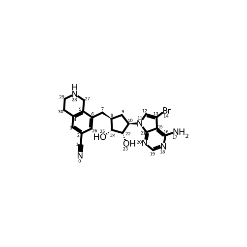 N#Cc1cc2c(c(C[C@H]3C[C@@H](n4cc(Br)c5c(N)ncnc54)[C@H](O)[C@@H]3O)c1)CNCC2